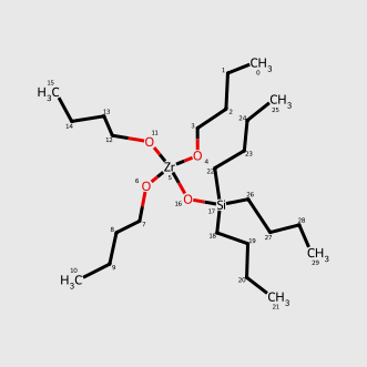 CCCC[O][Zr]([O]CCCC)([O]CCCC)[O][Si](CCCC)(CCCC)CCCC